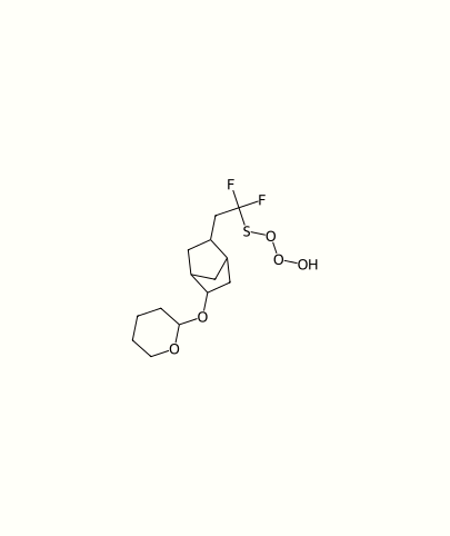 OOOSC(F)(F)CC1CC2CC1CC2OC1CCCCO1